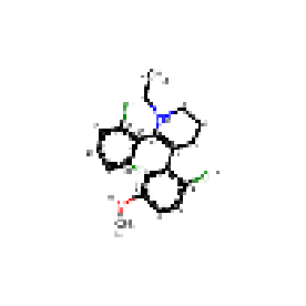 CCN1CCCC(c2cc(OC)ccc2Cl)=C1c1c(F)cccc1F